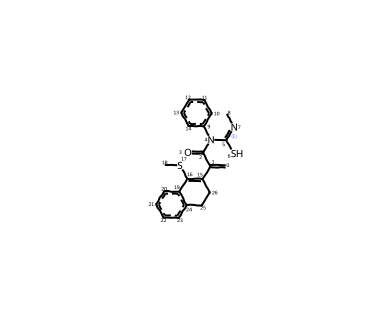 C=C(C(=O)N(/C(S)=N\C)c1ccccc1)C1=C(SC)c2ccccc2CC1